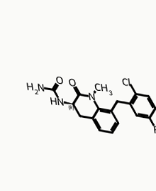 CN1C(=O)[C@H](NC(N)=O)Cc2cccc(Cc3cc(F)ccc3Cl)c21